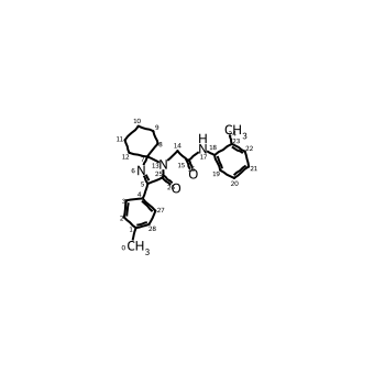 Cc1ccc(C2=NC3(CCCCC3)N(CC(=O)Nc3ccccc3C)C2=O)cc1